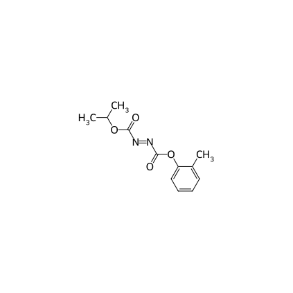 Cc1ccccc1OC(=O)N=NC(=O)OC(C)C